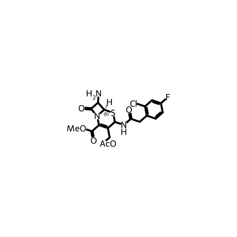 COC(=O)C1=C(COC(C)=O)C(NC(=O)Cc2ccc(F)cc2Cl)S[C@@H]2C(N)C(=O)N12